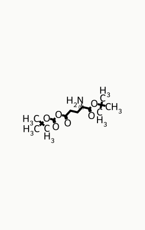 CC(C)(C)OC(=O)OC(=O)CC[C@H](N)C(=O)OC(C)(C)C